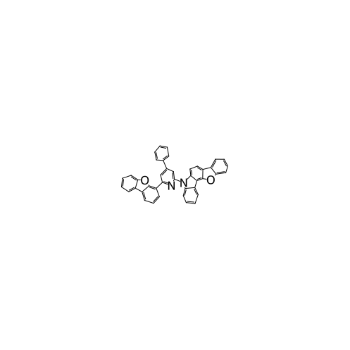 c1ccc(-c2cc(-c3cccc4c3oc3ccccc34)nc(-n3c4ccccc4c4c5oc6ccccc6c5ccc43)c2)cc1